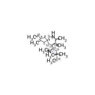 C=C1NCC(CCC)(CCCC)CC(/C(CC(C)(C)CC)=N\C)=C1C